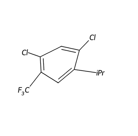 CC(C)c1cc(C(F)(F)F)c(Cl)cc1Cl